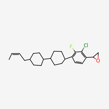 C/C=C\CC1CCC(C2CCC(c3ccc(C4CO4)c(Cl)c3F)CC2)CC1